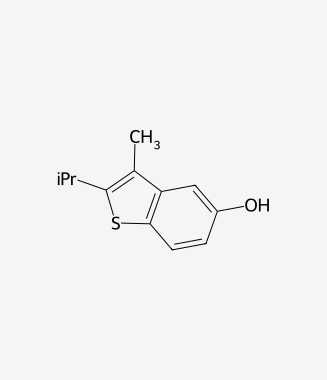 Cc1c(C(C)C)sc2ccc(O)cc12